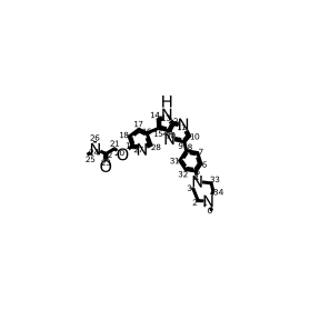 CN1CCN(c2ccc(-c3cnc4[nH]cc(-c5ccc(OCC(=O)N(C)C)nc5)c4n3)cc2)CC1